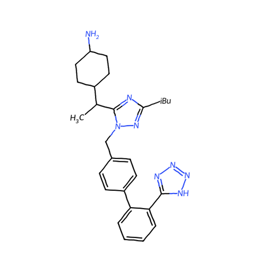 CCC(C)c1nc(C(C)C2CCC(N)CC2)n(Cc2ccc(-c3ccccc3-c3nnn[nH]3)cc2)n1